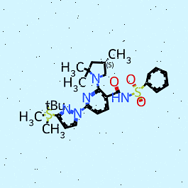 C[C@@H]1CN(c2nc(-n3ccc(S(C)(C)C(C)(C)C)n3)ccc2C(=O)NS(=O)(=O)c2ccccc2)C(C)(C)C1